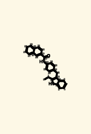 CCc1[nH]c2ccccc2c1Cc1ccc(NC(=O)c2ccc3ccccc3c2)cc1